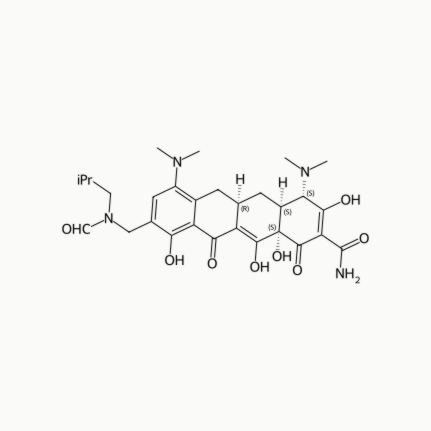 CC(C)CN(C=O)Cc1cc(N(C)C)c2c(c1O)C(=O)C1=C(O)[C@]3(O)C(=O)C(C(N)=O)=C(O)[C@@H](N(C)C)[C@@H]3C[C@@H]1C2